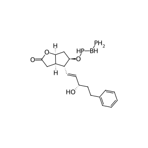 O=C1C[C@@H]2[C@@H](/C=C/[C@@H](O)CCc3ccccc3)[C@H](OPBP)C[C@@H]2O1